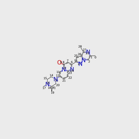 Cc1cn2nc(-c3cc(=O)n4cc(N5CCN(C)[C@H](C)C5)ccc4n3)cc2c(C)n1